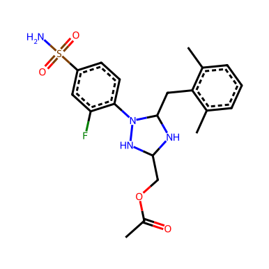 CC(=O)OCC1NC(Cc2c(C)cccc2C)N(c2ccc(S(N)(=O)=O)cc2F)N1